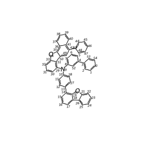 c1ccc(-c2cccc(N(c3ccc(-c4cccc5c4oc4ccccc45)cc3)c3cccc4oc5c6ccccc6c(-c6ccccc6)cc5c34)c2)cc1